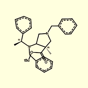 C[C@@H](c1ccccc1)N(Cc1ccccc1)C1CN(Cc2ccccc2)C[C@@]1(C)C(=O)OC(C)(C)C